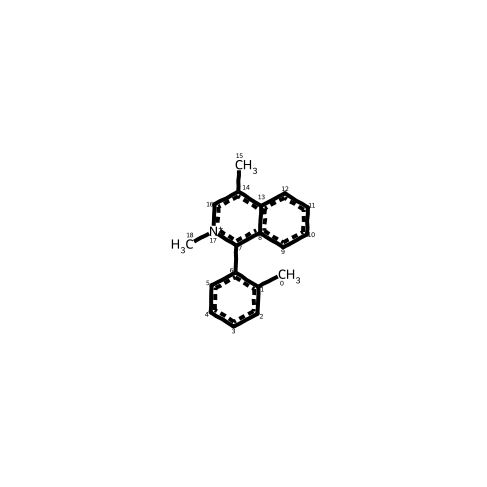 Cc1ccccc1-c1c2ccccc2c(C)c[n+]1C